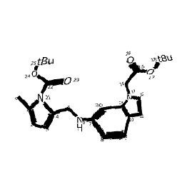 Cc1ccc(CNc2ccc3ccn(CC(=O)OC(C)(C)C)c3c2)n1C(=O)OC(C)(C)C